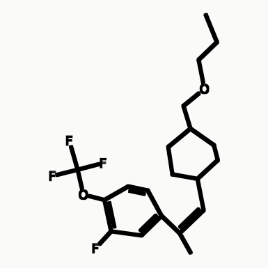 CCCOCC1CCC(C=C(C)c2ccc(OC(F)(F)F)c(F)c2)CC1